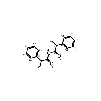 CC(C(=O)OC(=O)C(C)c1ccccc1)c1ccccc1